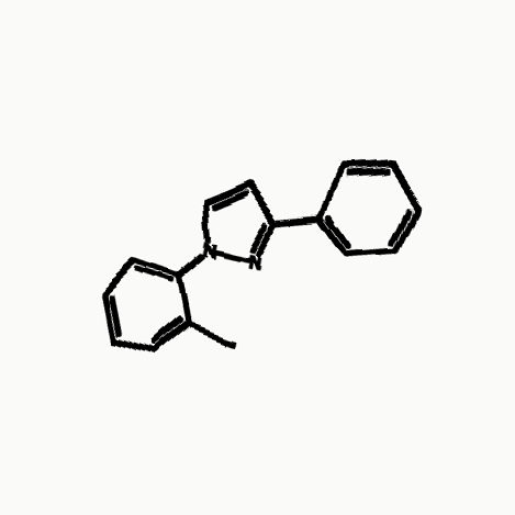 Cc1ccccc1-n1ccc(-c2ccccc2)n1